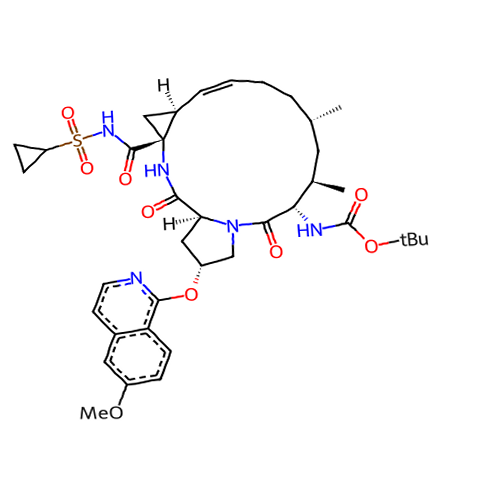 COc1ccc2c(O[C@@H]3C[C@H]4C(=O)N[C@]5(C(=O)NS(=O)(=O)C6CC6)C[C@H]5/C=C\CC[C@H](C)C[C@@H](C)[C@H](NC(=O)OC(C)(C)C)C(=O)N4C3)nccc2c1